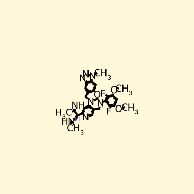 CN/C=C(\C(C)=N)c1cc2c(cn1)CN(c1c(F)c(OC)cc(OC)c1F)C(=O)N2Cc1ccc2c(c1)nnn2C